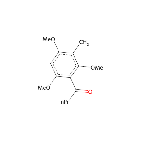 CCCC(=O)c1c(OC)cc(OC)c(C)c1OC